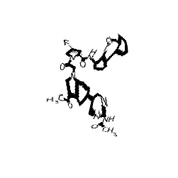 CC(=O)Nc1ncc(-c2ccc3c(c2)c(C(C)=O)cn3CC(=O)N2C[C@H](F)C[C@H]2C(=O)Nc2cccc(-c3ccccc3Cl)c2F)cn1